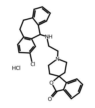 Cl.O=C1OC2(CCN(CCNC3c4ccccc4CCc4ccc(Cl)cc43)CC2)c2ccccc21